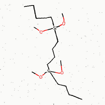 CCCC[Si](CCCC[Si](CCCC)(OC)OC)(OC)OC